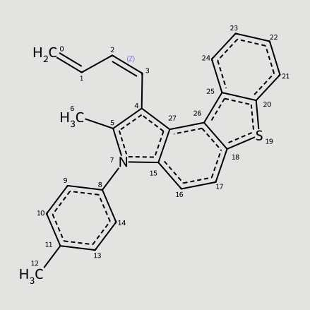 C=C/C=C\c1c(C)n(-c2ccc(C)cc2)c2ccc3sc4ccccc4c3c12